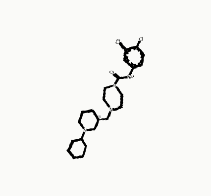 O=C(Nc1ccc(Cl)c(Cl)c1)N1CCN(C[C@@H]2CCCN(C3CCCCC3)C2)CC1